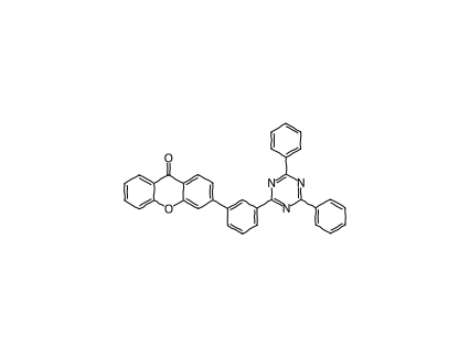 O=c1c2ccccc2oc2cc(-c3cccc(-c4nc(-c5ccccc5)nc(-c5ccccc5)n4)c3)ccc12